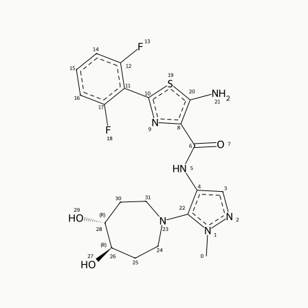 Cn1ncc(NC(=O)c2nc(-c3c(F)cccc3F)sc2N)c1N1CC[C@@H](O)[C@H](O)CC1